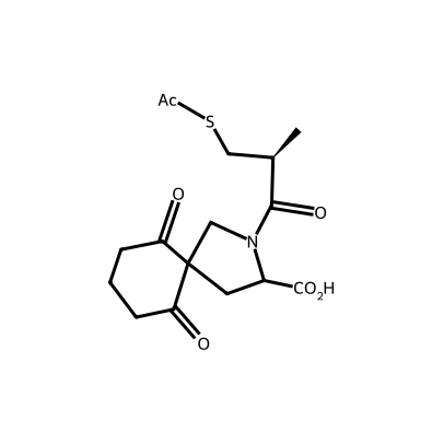 CC(=O)SC[C@@H](C)C(=O)N1CC2(CC1C(=O)O)C(=O)CCCC2=O